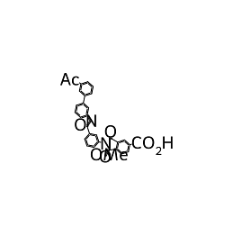 COc1ccc(-c2nc3cc(-c4cccc(C(C)=O)c4)ccc3o2)cc1N1C(=O)c2ccc(C(=O)O)cc2C1=O